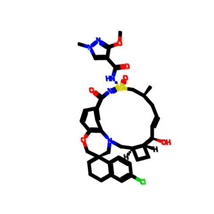 COc1nn(C)cc1C(=O)N[S@@]1(=O)=NC(=O)c2ccc3c(c2)N(C[C@@H]2CC[C@H]2[C@H](O)/C=C/C[C@H](C)C1)C[C@@]1(CCCc2cc(Cl)ccc21)CO3